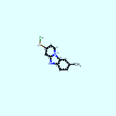 Cc1ccc2nc3cc(SF)ccn3c2c1